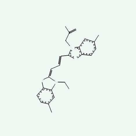 CCN1C(=CC=Cc2oc3ccc(C)cc3[n+]2CC(=O)O)Oc2ccc(C)cc21